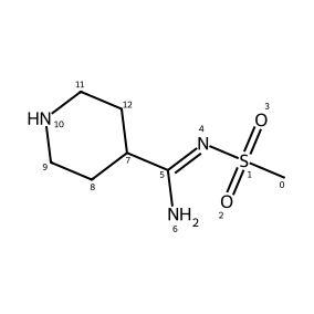 CS(=O)(=O)N=C(N)C1CCNCC1